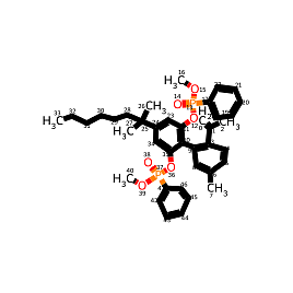 C=C(C)c1ccc(C)cc1-c1c(OP(=O)(OC)c2ccccc2)cc(C(C)(C)CCCCCC)cc1OP(=O)(OC)c1ccccc1